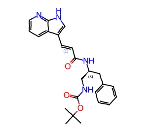 CC(C)(C)OC(=O)NC[C@H](Cc1ccccc1)NC(=O)/C=C/c1c[nH]c2ncccc12